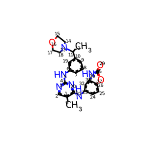 Cc1cnc(Nc2cccc(C(C)N3CCOCC3)c2)nc1Nc1ccc2oc(=O)[nH]c2c1